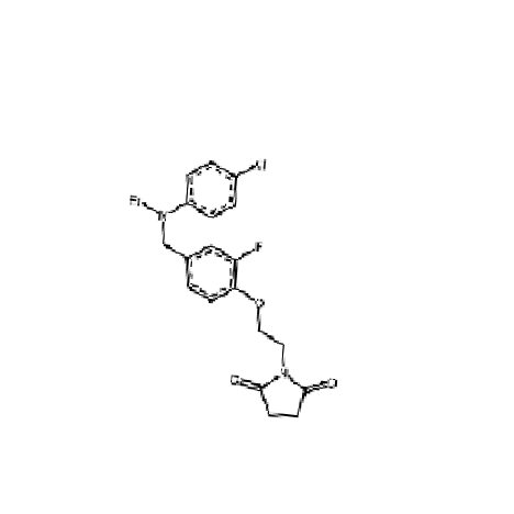 CCN(Cc1ccc(OCCN2C(=O)CCC2=O)c(F)c1)c1ccc(Cl)cc1